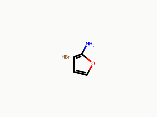 Br.Nc1ccco1